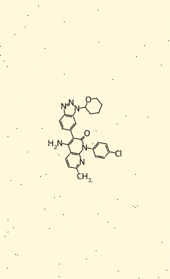 Cc1ccc2c(N)c(-c3ccc4nnn(C5CCCCO5)c4c3)c(=O)n(-c3ccc(Cl)cc3)c2n1